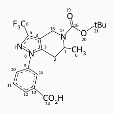 CC1Cc2c(c(C(F)(F)F)nn2-c2cccc(C(=O)O)c2)CN1C(=O)OC(C)(C)C